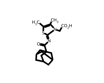 Cc1sc(=NC(=O)C23CC4CC(CC(C4)C2)C3)n(CC(=O)O)c1C